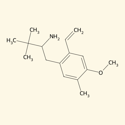 C=Cc1cc(OC)c(C)cc1CC(N)C(C)(C)C